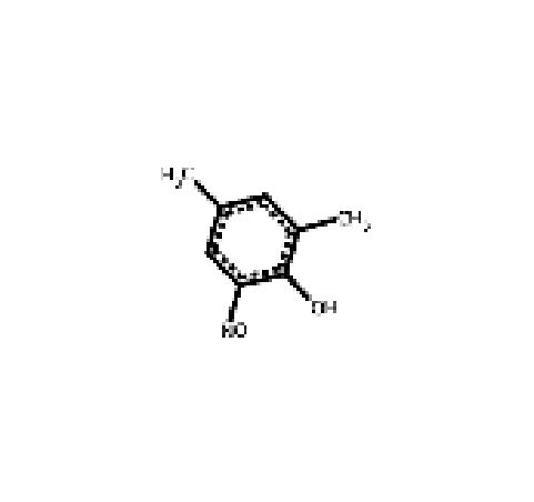 Cc1cc(C)c(O)c(N=O)c1